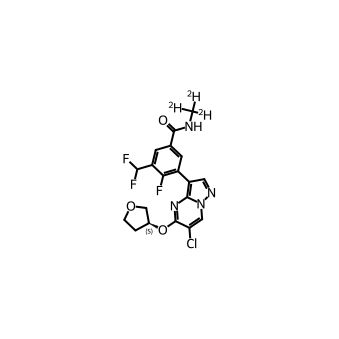 [2H]C([2H])([2H])NC(=O)c1cc(-c2cnn3cc(Cl)c(O[C@H]4CCOC4)nc23)c(F)c(C(F)F)c1